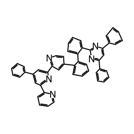 c1ccc(-c2cc(-c3ccccn3)nc(-c3cc(-c4ccccc4-c4ccccc4-c4nc(-c5ccccc5)cc(-c5ccccc5)n4)ccn3)c2)cc1